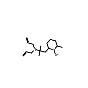 C=CCN(CC=C)C(C)(C)CC1CCCC(C)N1C(C)C